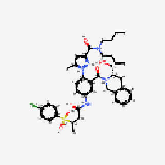 CCCCN(CCCC)C(=O)c1cc(C)n(-c2ccc(NC(=O)CC(C)S(=O)(=O)c3ccc(Cl)cc3)cc2C(=O)N2Cc3ccccc3C[C@H]2CO)n1